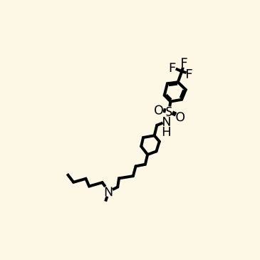 CCCCCN(C)CCCCCC1CCC(CNS(=O)(=O)c2ccc(C(F)(F)F)cc2)CC1